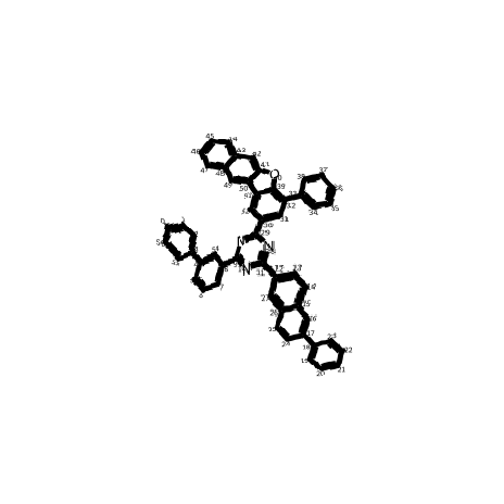 c1ccc(-c2cccc(-c3nc(-c4ccc5cc(-c6ccccc6)ccc5c4)nc(-c4cc(-c5ccccc5)c5oc6cc7ccccc7cc6c5c4)n3)c2)cc1